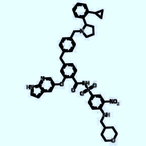 O=C(NS(=O)(=O)c1ccc(NCC2CCOCC2)c([N+](=O)[O-])c1)c1ccc(Cc2ccc(CN3CCCC3c3ccccc3C3CC3)cc2)cc1Oc1cnc2[nH]ccc2c1